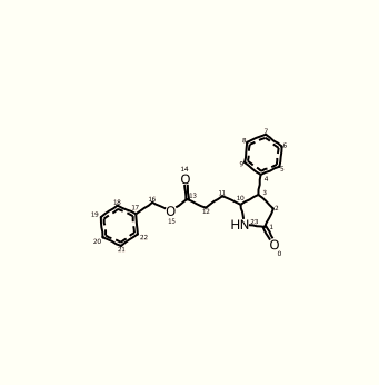 O=C1CC(c2ccccc2)C(CCC(=O)OCc2ccccc2)N1